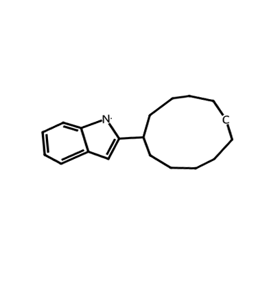 C1=C(C2CCCCCCCCCC2)[N]c2ccccc21